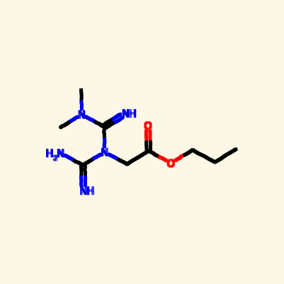 CCCOC(=O)CN(C(=N)N)C(=N)N(C)C